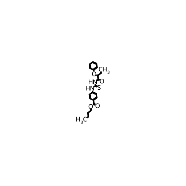 CCCCOC(=O)c1ccc(NC(=S)NC(=O)C(CC)Oc2ccccc2)cc1